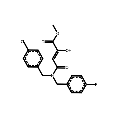 COC(=O)C(O)=CC(=O)N(Cc1ccc(F)cc1)Cc1ccc(Cl)cc1